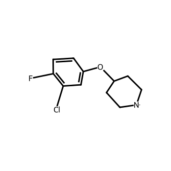 Fc1ccc(OC2CC[N]CC2)cc1Cl